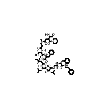 CC[C@H](C)[C@H](NC(=O)C(Cc1ccccc1)NC(=O)[C@@H](NC(=O)CCN(C)C(=O)CC(C(=N)C=O)C(=O)N1CCCCC1)[C@@H](C)O)C(=O)N[C@@H](CC(C)C)C(=O)N(C)[C@@H](CC(C)C)C(=O)NCC(=O)N[C@@H](Cc1ccccc1)C(=O)NCCc1ccccc1